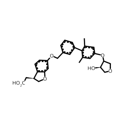 Cc1cc(OC2COC[C@H]2O)cc(C)c1-c1cccc(COc2ccc3c(c2)OC[C@H]3CC(=O)O)c1